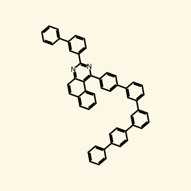 c1ccc(-c2ccc(-c3cccc(-c4cccc(-c5ccc(-c6nc(-c7cccc(-c8ccccc8)c7)nc7ccc8ccccc8c67)cc5)c4)c3)cc2)cc1